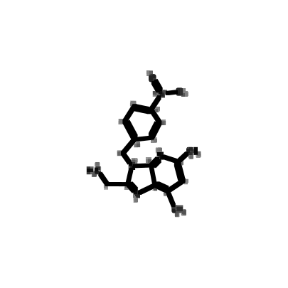 CCc1nc2c(C)cc(C)nc2n1Cc1ccc([N+](=O)[O-])cc1